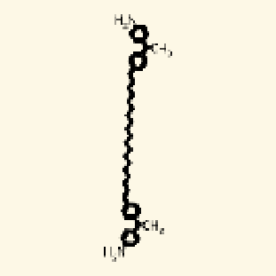 CC(c1ccc(N)cc1)c1ccc(CCCCCCCCCCCCCCCCCCCc2ccc(C(C)c3ccc(N)cc3)cc2)cc1